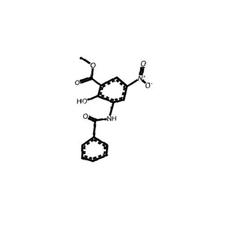 COC(=O)c1cc([N+](=O)[O-])cc(NC(=O)c2ccccc2)c1O